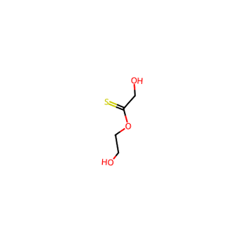 OCCOC(=S)CO